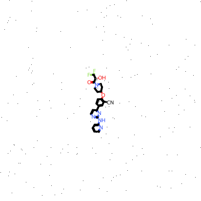 N#Cc1cc(-c2ccnc(Nc3ccccn3)n2)ccc1OC1CCN(C(=O)[C@@H](O)C(F)F)CC1